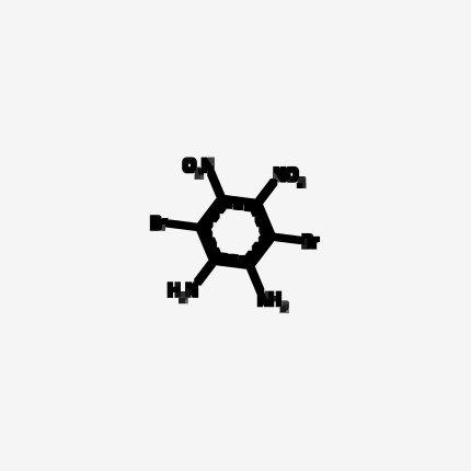 Nc1c(N)c(Br)c([N+](=O)[O-])c([N+](=O)[O-])c1Br